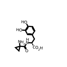 NC1(C(=O)N[C@@H](Cc2ccc(O)c(O)c2)C(=O)O)CC1